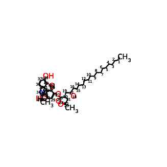 CCCCCCCCCCCCCCCCCC(=O)C[C@@H](CC(C)=O)C(=O)OC1=CC[C@@]2(O)[C@H]3Cc4ccc(O)c5c4[C@@]2(CCN3C)[C@H]1O5